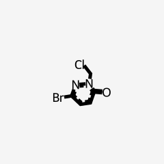 O=c1ccc(Br)nn1CCl